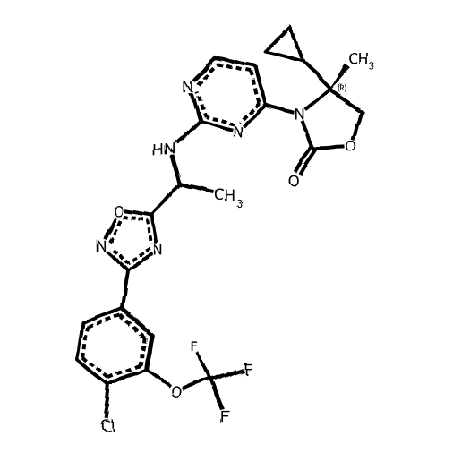 CC(Nc1nccc(N2C(=O)OC[C@@]2(C)C2CC2)n1)c1nc(-c2ccc(Cl)c(OC(F)(F)F)c2)no1